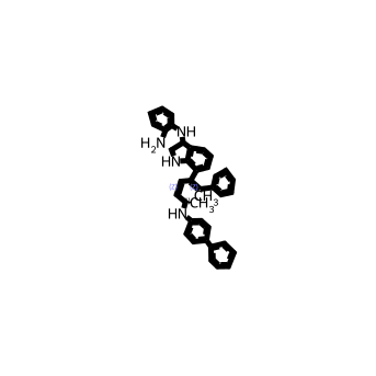 C/C(=C(\C=C/[C@H](C)Nc1ccc(-c2ccccc2)cc1)c1cccc2c1NCC2Nc1ccccc1N)c1ccccc1